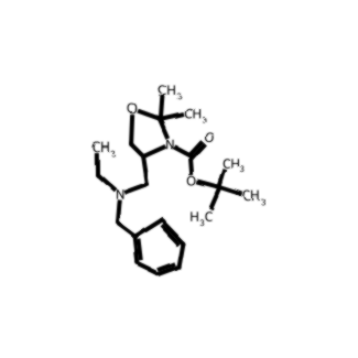 CCN(Cc1ccccc1)CC1COC(C)(C)N1C(=O)OC(C)(C)C